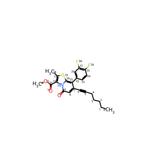 CCCCCC#Cc1cc(=O)n2c(C(=O)OC)c(C)sc2c1-c1ccc(F)c(F)c1